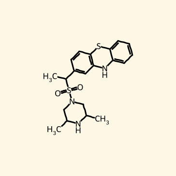 CC1CN(S(=O)(=O)C(C)c2ccc3c(c2)Nc2ccccc2S3)CC(C)N1